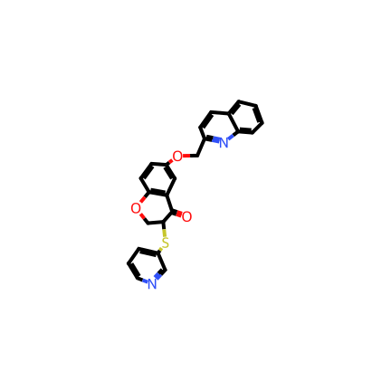 O=C1c2cc(OCc3ccc4ccccc4n3)ccc2OCC1Sc1cccnc1